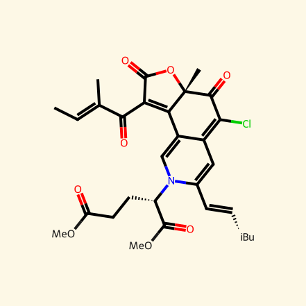 C/C=C(\C)C(=O)C1=C2C3=CN([C@@H](CCC(=O)OC)C(=O)OC)C(/C=C/[C@@H](C)CC)=CC3=C(Cl)C(=O)[C@@]2(C)OC1=O